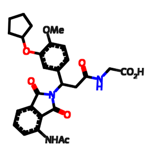 COc1ccc(C(CC(=O)NCC(=O)O)N2C(=O)c3cccc(NC(C)=O)c3C2=O)cc1OC1CCCC1